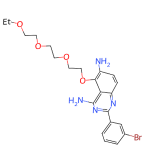 CCOCCOCCOCCOc1c(N)ccc2nc(-c3cccc(Br)c3)nc(N)c12